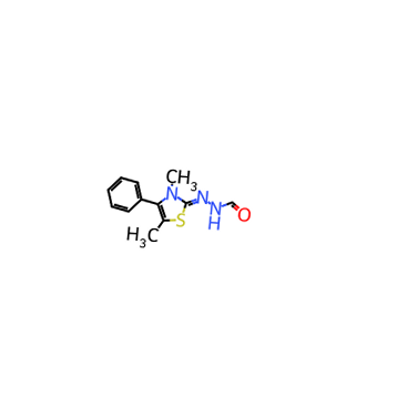 Cc1sc(=NNC=O)n(C)c1-c1ccccc1